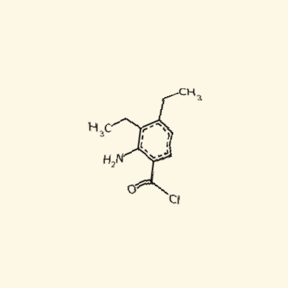 CCc1ccc(C(=O)Cl)c(N)c1CC